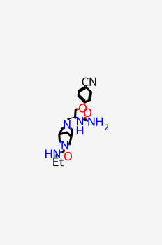 CCNC(=O)N1CC2CC(CN(C[C@@H](COc3ccc(C#N)cc3)NC(N)=O)C2)C1